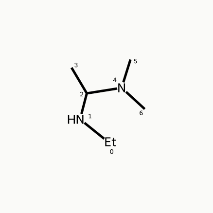 CCNC(C)N(C)C